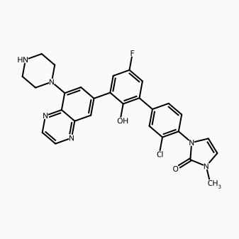 Cn1ccn(-c2ccc(-c3cc(F)cc(-c4cc(N5CCNCC5)c5nccnc5c4)c3O)cc2Cl)c1=O